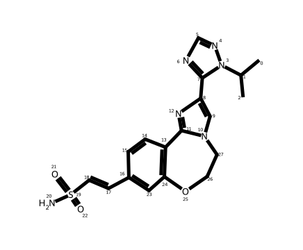 CC(C)n1ncnc1-c1cn2c(n1)-c1ccc(/C=C/S(N)(=O)=O)cc1OCC2